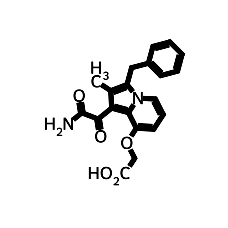 Cc1c(C(=O)C(N)=O)c2c(OCC(=O)O)cccn2c1Cc1ccccc1